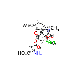 COc1ccc2c3c1O[C@H]1C(OC(=O)CC(N)C(=O)O)=CC[C@@]4(O)[C@@H](C2)N(C)CC[C@]314.Cl.Cl